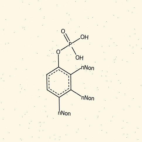 CCCCCCCCCc1ccc(OP(=O)(O)O)c(CCCCCCCCC)c1CCCCCCCCC